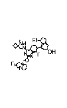 CCC1CCc2cc(O)cc(-c3ccc4c(NCC5(N(C)C)CCC5)nc(OC[C@@]56CCCN5C[C@H](F)C6)nc4c3F)c21